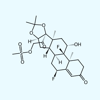 CC1(C)O[C@@H]2C[C@H]3[C@@H]4C[C@H](F)C5=CC(=O)CC[C@]5(C)[C@@]4(F)[C@@H](O)C[C@]3(C)[C@]2(C(=O)COS(C)(=O)=O)O1